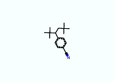 CC(C)(C)CC(c1ccc(C#N)cc1)C(C)(C)C